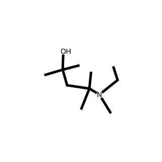 CCN(C)C(C)(C)CC(C)(C)O